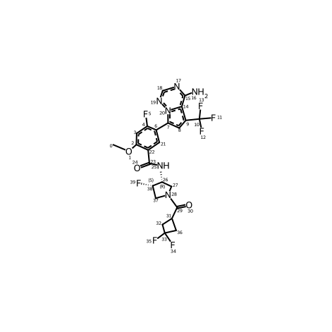 COc1cc(F)c(-c2cc(C(F)(F)F)c3c(N)ncnn23)cc1C(=O)N[C@@H]1CN(C(=O)C2CC(F)(F)C2)C[C@@H]1F